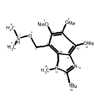 COc1c(OC)c(CO[SiH](C)C)c2c(nc(C(C)(C)C)n2C)c1OC